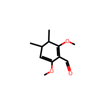 COC1=CC(C)C(C)C(OC)=C1C=O